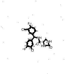 O=C1NC[C@@H](C(=O)NC(c2ccc(F)c(Cl)c2)c2ccc(F)c(Cl)c2)N1